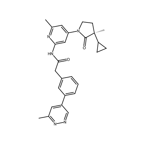 Cc1cc(-c2cccc(CC(=O)Nc3cc(N4CC[C@@](C)(C5CC5)C4=O)cc(C)n3)c2)cnn1